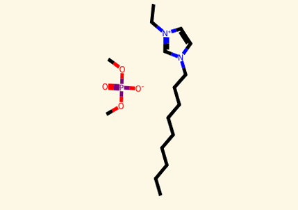 CCCCCCCCCn1cc[n+](CC)c1.COP(=O)([O-])OC